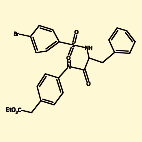 CCOC(=O)Cc1ccc(NC(=O)C(Cc2ccccc2)NS(=O)(=O)c2ccc(Br)cc2)cc1